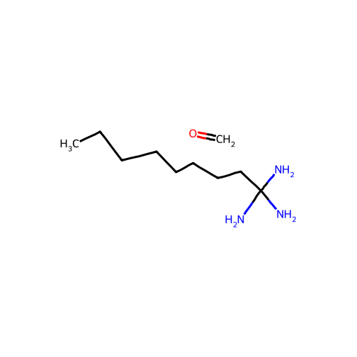 C=O.CCCCCCCCC(N)(N)N